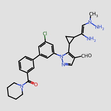 CN(N)/C=C(\N)C1CC1c1c(C=O)cnn1-c1cc(Cl)cc(-c2cccc(C(=O)N3CCCCC3)c2)c1